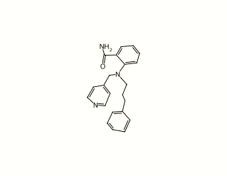 NC(=O)c1ccccc1N(CCCc1ccccc1)Cc1ccncc1